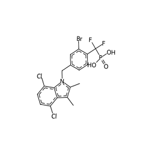 Cc1c(C)n(Cc2ccc(C(F)(F)P(=O)(O)O)c(Br)c2)c2c(Cl)ccc(Cl)c12